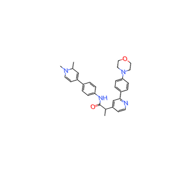 CC(C(=O)Nc1ccc(C2=CC(C)N(C)C=C2)cc1)c1ccnc(-c2ccc(N3CCOCC3)cc2)c1